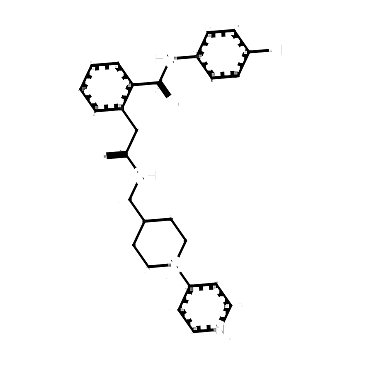 O=C(Cc1ccccc1C(=O)Nc1ccc(Cl)cc1)NCC1CCN(c2ccncc2)CC1